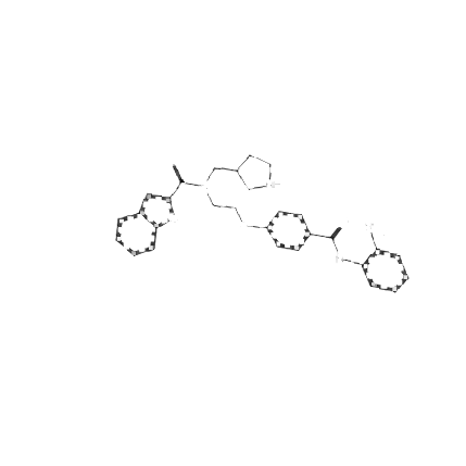 Nc1ccccc1NC(=O)c1ccc(OCCN(CC2CCNC2)C(=O)c2cc3ccccc3o2)cc1